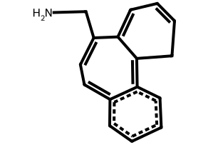 NCC1=CC=c2ccccc2=C2CC=CC=C12